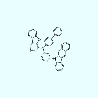 c1ccc(-c2ccc(N(c3cccc(-n4c5ccccc5c5cc6ccccc6cc54)c3)c3cncc4c3oc3ccccc34)cc2)cc1